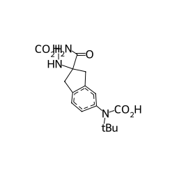 CC(C)(C)N(C(=O)O)c1ccc2c(c1)CC(NC(=O)O)(C(N)=O)C2